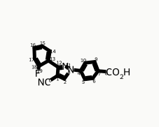 N#Cc1cn(-c2ccc(C(=O)O)cc2)nc1-c1ccccc1F